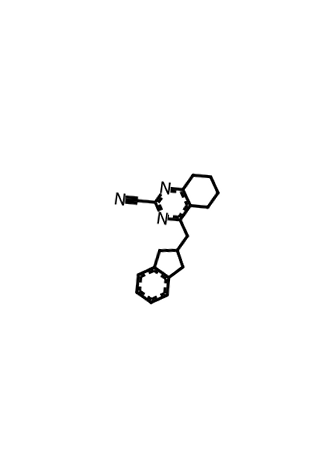 N#Cc1nc2c(c(CC3Cc4ccccc4C3)n1)CCCC2